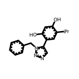 CC(C)c1cc(-c2cnnn2Cc2ccccc2)c(O)cc1O